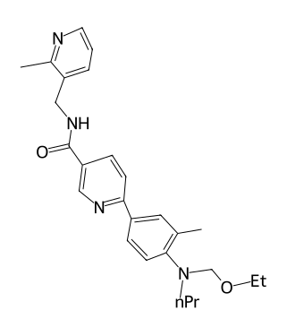 CCCN(COCC)c1ccc(-c2ccc(C(=O)NCc3cccnc3C)cn2)cc1C